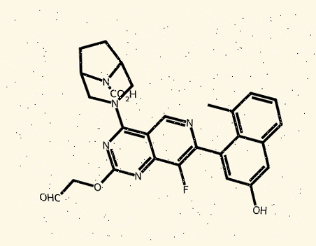 Cc1cccc2cc(O)cc(-c3ncc4c(N5CC6CCC(C5)N6C(=O)O)nc(OCC=O)nc4c3F)c12